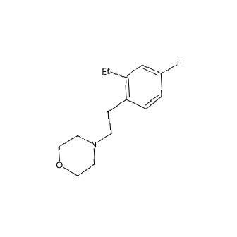 CCc1cc(F)ccc1CCN1CCOCC1